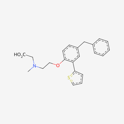 CN(CCOc1ccc(Cc2ccccc2)cc1-c1cccs1)CC(=O)O